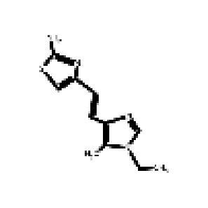 CCn1cnc(/C=C/c2csc(N)n2)c1C